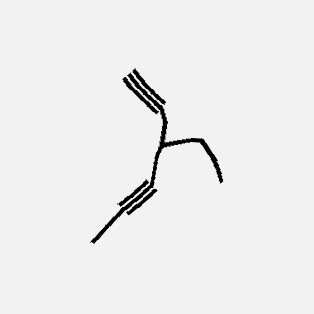 C#CC(C#CC)CC